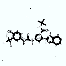 CC(C)(C)OC(=O)N1C[C@@H](NC(=O)Nc2ccc(Cl)c(C(F)(F)F)c2)C[C@H]1c1nc2ccccc2[nH]1